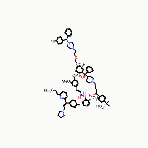 CC(C)(C(=O)O)c1ccc(C(O)CCCN2CCC(C(O)(c3ccccc3)c3ccccc3)CC2)cc1.COc1ccc(/C=C/C(=O)Nc2ccccc2C(=O)O)cc1OC.Cc1ccc(/C(=C\CN2CCCC2)c2cccc(/C=C/C(=O)O)n2)cc1.O=C(O)COCCN1CCN(C(c2ccccc2)c2ccc(Cl)cc2)CC1